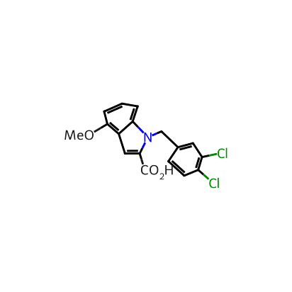 COc1cccc2c1cc(C(=O)O)n2Cc1ccc(Cl)c(Cl)c1